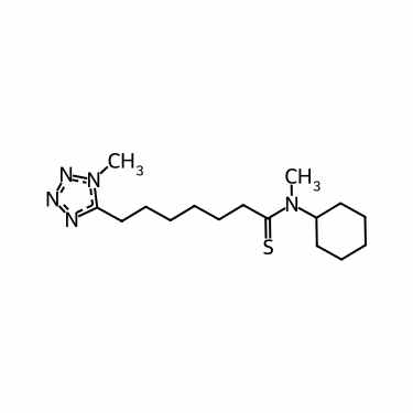 CN(C(=S)CCCCCCc1nnnn1C)C1CCCCC1